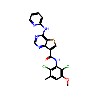 COc1cc(C)c(Cl)c(NC(=O)c2csc3c(Nc4ccccn4)ncnc23)c1Cl